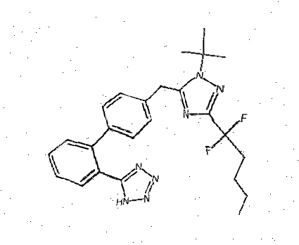 CCCCC(F)(F)c1nc(Cc2ccc(-c3ccccc3-c3nnn[nH]3)cc2)n(C(C)(C)C)n1